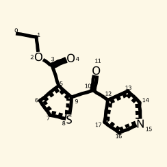 CCOC(=O)c1ccsc1C(=O)c1ccncc1